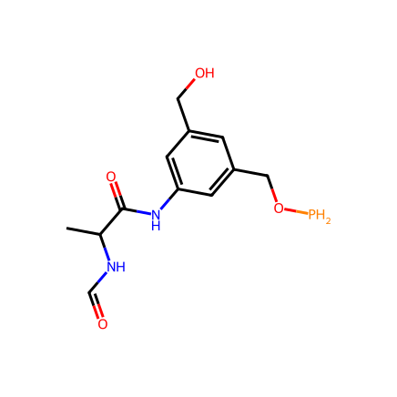 CC(NC=O)C(=O)Nc1cc(CO)cc(COP)c1